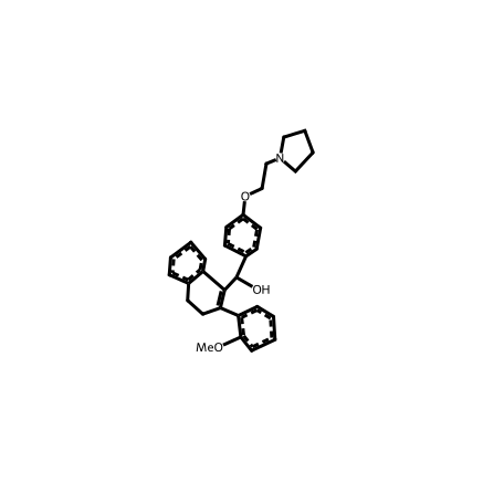 COc1ccccc1C1=C(C(O)c2ccc(OCCN3CCCC3)cc2)c2ccccc2CC1